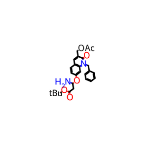 CC(=O)OCc1cc2ccc(OC(N)CC(=O)OC(C)(C)C)cc2n(Cc2ccccc2)c1=O